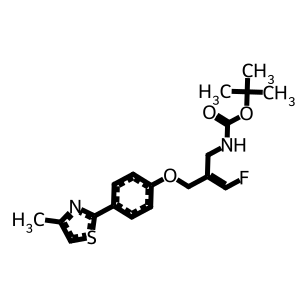 Cc1csc(-c2ccc(OC/C(=C/F)CNC(=O)OC(C)(C)C)cc2)n1